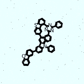 c1ccc(-c2nc(-c3ccccc3)nc(-c3cccc4sc5ccc(-c6ccc7c(c6)c6cc(-c8ccc9oc%10ccccc%10c9c8)ccc6n7-c6ccccc6)cc5c34)n2)cc1